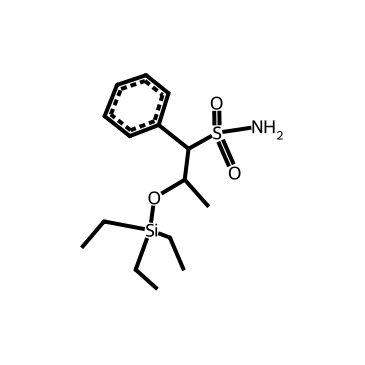 CC[Si](CC)(CC)OC(C)C(c1ccccc1)S(N)(=O)=O